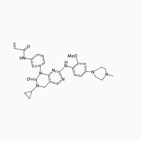 C=CC(=O)Nc1cccc(N2C(=O)N(C3CC3)Cc3cnc(Nc4ccc(N5CCN(C)CC5)cc4OC)nc32)c1